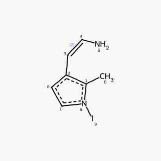 Cc1c(/C=C\N)ccn1I